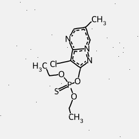 CCOP(=S)(OCC)Oc1nn2cc(C)cnc2c1Cl